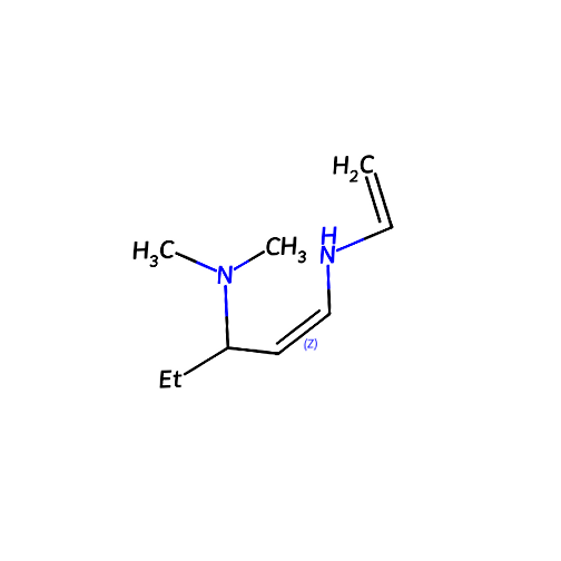 C=CN/C=C\C(CC)N(C)C